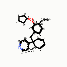 CC[C@@H]1C=CC=CC1(Cc1ccc(OC)c(OC2CCCC2)c1)c1ccncc1